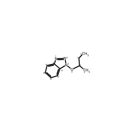 CCC(C)On1nnc2ccccc21